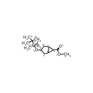 COC(=O)C1C2CC(O[Si](C)(C)C(C)(C)C)CC21